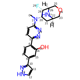 CN(c1ccc(-c2ccc(-c3cc[nH]n3)cc2O)nn1)[C@H]1C[C@@H]2COC[C@@H](N2)[C@H]1F